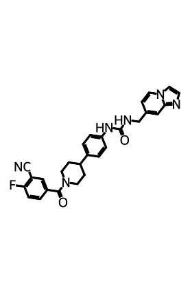 N#Cc1cc(C(=O)N2CCC(c3ccc(NC(=O)NCc4ccn5ccnc5c4)cc3)CC2)ccc1F